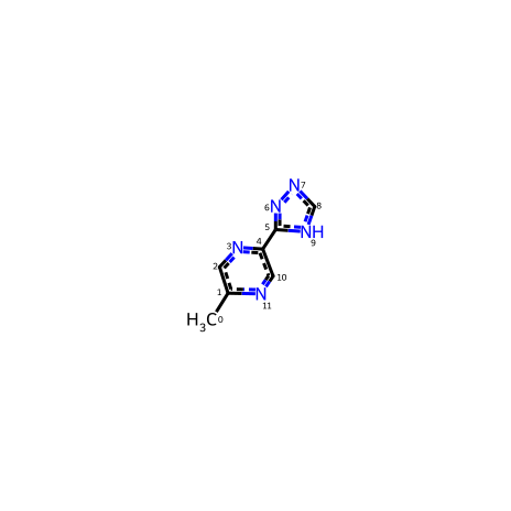 Cc1cnc(-c2nnc[nH]2)cn1